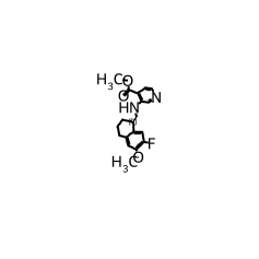 COC(=O)c1ccncc1NC[C@@H]1CCCc2cc(OC)c(F)cc21